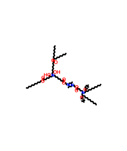 CCCCCCCCCCCOC(=O)CCCC(O)CN(CCCCCCC(=O)OCCN1CC(C)N(CCOC(=O)CCCN(CC(CCCCCCCCCC)O[Si](C)(C)C(C)(C)C)CC(CCCCCCCCCC)O[Si](C)(C)C(C)(C)C)CC1C)CC(O)CCCCCC(=O)OC(CCCCCCCC)CCCCCCCC